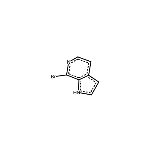 Brc1nccc2[c]c[nH]c12